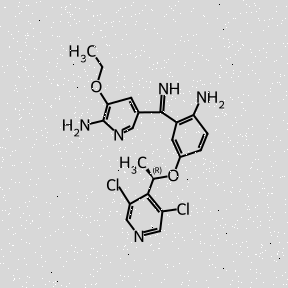 CCOc1cc(C(=N)c2cc(O[C@H](C)c3c(Cl)cncc3Cl)ccc2N)cnc1N